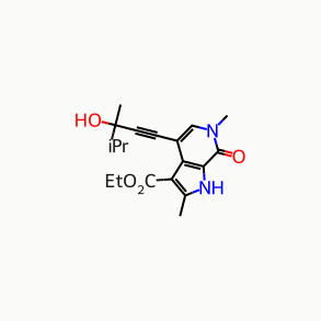 CCOC(=O)c1c(C)[nH]c2c(=O)n(C)cc(C#CC(C)(O)C(C)C)c12